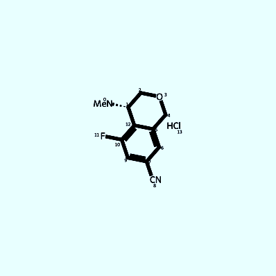 CN[C@@H]1COCc2cc(C#N)cc(F)c21.Cl